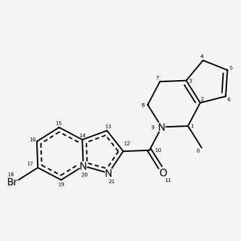 CC1C2=C(CC=C2)CCN1C(=O)c1cc2ccc(Br)cn2n1